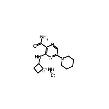 CCN[C@@H]1CCC1Nc1nc(N2CCCCC2)cnc1C(N)=O